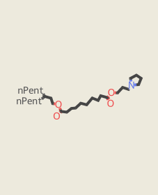 CCCCCC(CCCCC)CCOC(=O)CCCCCCCCC(=O)OCCCN1CCCC1